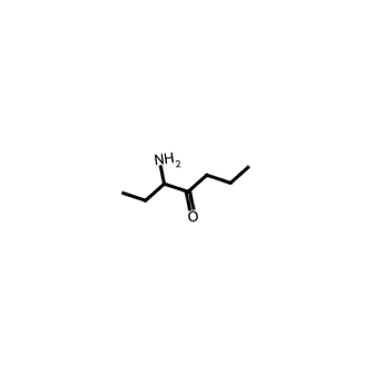 CCCC(=O)C(N)CC